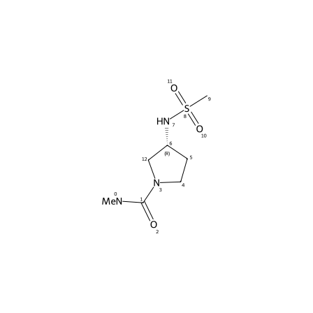 CNC(=O)N1CC[C@@H](NS(C)(=O)=O)C1